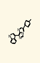 Cc1ccc(-c2cnc3c(-c4ccnc5ccccc45)ncn3c2)cc1